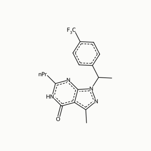 CCCc1nc2c(c(C)nn2C(C)c2ccc(C(F)(F)F)cc2)c(=O)[nH]1